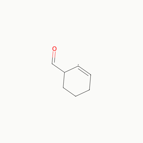 O=CC1[C]=CCCC1